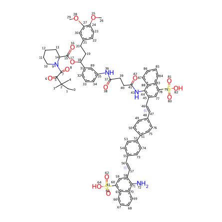 CCC(C)(C)C(=O)C(=O)N1CCCCC1C(=O)OC(CCc1ccc(OC)c(OC)c1)c1cccc(NC(=O)CCC(=O)Nc2c(/C=C/c3ccc(-c4ccc(/C=C/c5cc(S(=O)(=O)O)c6ccccc6c5N)cc4)cc3)cc(S(=O)(=O)O)c3ccccc23)c1